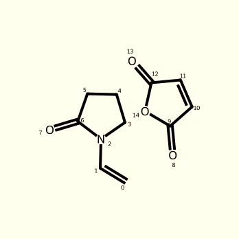 C=CN1CCCC1=O.O=C1C=CC(=O)O1